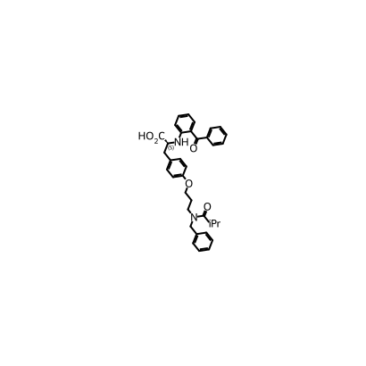 CC(C)C(=O)N(CCCOc1ccc(C[C@H](Nc2ccccc2C(=O)c2ccccc2)C(=O)O)cc1)Cc1ccccc1